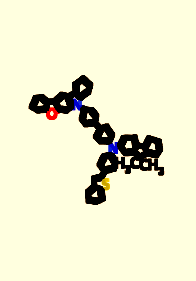 CC1(C)c2ccccc2-c2ccc(N(c3ccc(-c4ccc(-n5c6ccccc6c6cc7c(cc65)oc5ccccc57)cc4)cc3)c3ccc(-c4cc5ccccc5s4)cc3)cc21